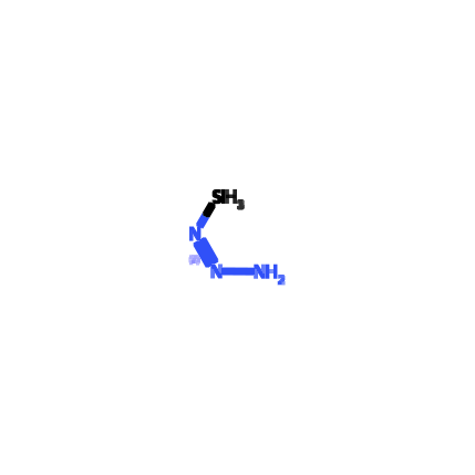 N/N=N\[SiH3]